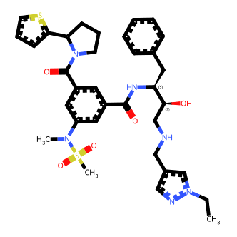 CCn1cc(CNC[C@H](O)[C@H](Cc2ccccc2)NC(=O)c2cc(C(=O)N3CCCC3c3cccs3)cc(N(C)S(C)(=O)=O)c2)cn1